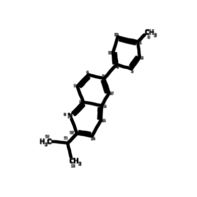 Cc1ccc(-c2ccc3nc(C(C)C)ccc3c2)cc1